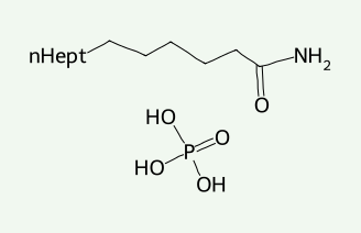 CCCCCCCCCCCCC(N)=O.O=P(O)(O)O